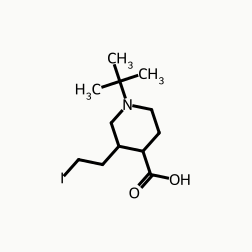 CC(C)(C)N1CCC(C(=O)O)C(CCI)C1